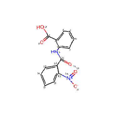 O=C(O)c1ccccc1NC(=O)c1ccccc1[N+](=O)[O-]